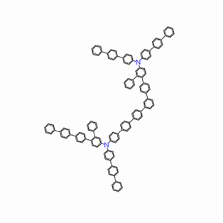 c1ccc(-c2ccc(-c3ccc(-c4ccc(N(c5ccc(-c6ccc(-c7ccccc7)cc6)cc5)c5ccc(-c6ccc(-c7ccc(-c8cccc(-c9ccc(-c%10ccc(N(c%11ccc(-c%12ccc(-c%13ccccc%13)cc%12)cc%11)c%11ccc(-c%12ccc(-c%13ccccc%13)cc%12)cc%11)cc%10-c%10ccccc%10)cc9)c8)cc7)cc6)cc5)cc4-c4ccccc4)cc3)cc2)cc1